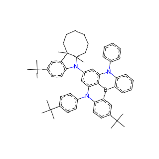 CC(C)(C)c1ccc(N2c3ccc(C(C)(C)C)cc3B3c4ccccc4N(c4ccccc4)c4cc(N5c6ccc(C(C)(C)C)cc6C6(C)CCCCCCC56C)cc2c43)cc1